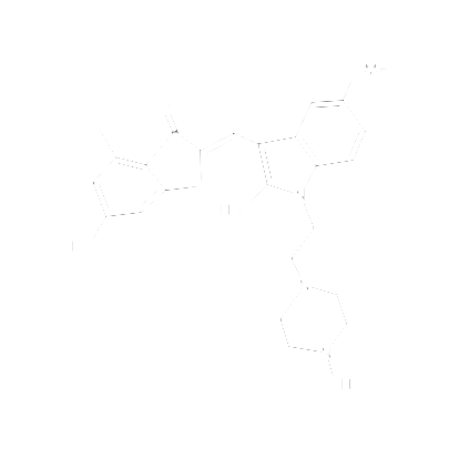 COc1ccc2c(c1)c(/C=C1\Oc3cc(O)cc(F)c3C1=O)c(C)n2CCN1CCN(C)CC1